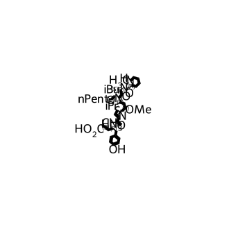 CCCCCOCN(C(=O)[C@@H](NC(=O)[C@H]1CCCCN1C)[C@@H](C)CC)[C@H](C[C@@H](OC)c1nc(C(=O)N[C@@H](Cc2ccc(O)cc2)C[C@H](C)C(=O)O)cs1)C(C)C